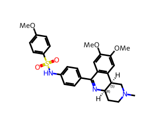 COc1ccc(S(=O)(=O)Nc2ccc(C3=N[C@@H]4CCN(C)C[C@@H]4c4cc(OC)c(OC)cc43)cc2)cc1